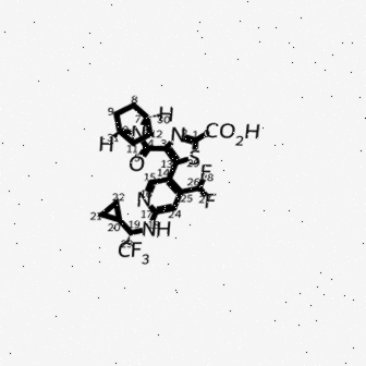 O=C(O)c1nc(C(=O)N2[C@H]3CC[C@H]2CC3)c(-c2cnc(N[C@@H](C3CC3)C(F)(F)F)cc2C(F)F)s1